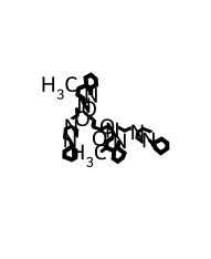 Cc1cc(N(CCCN2CCN(c3ccccc3)CC2)OC(=O)/C=C/C(=O)ON(CCCN2CCN(c3ccccc3)CC2)c2cc(C)c3ccccc3n2)nc2ccccc12